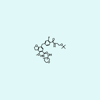 COc1c(C(=O)N[C@H]2CCOC[C@@H]2O)cc(Cc2ccc(C(=O)NCCOC(C)(C)C)c(F)c2)c2c1CCO2